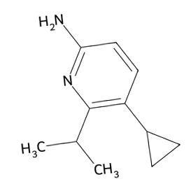 CC(C)c1nc(N)ccc1C1CC1